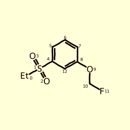 CCS(=O)(=O)c1cccc(OCF)c1